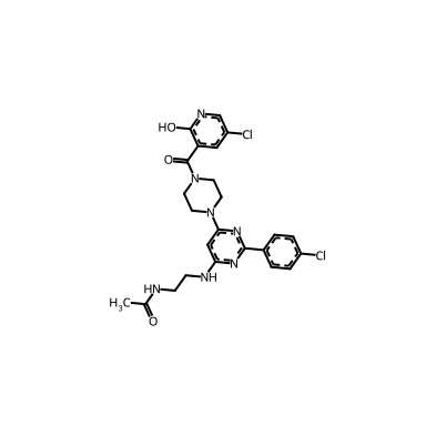 CC(=O)NCCNc1cc(N2CCN(C(=O)c3cc(Cl)cnc3O)CC2)nc(-c2ccc(Cl)cc2)n1